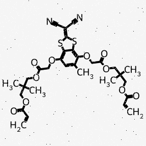 C=CC(=O)OCC(C)(C)COC(=O)COc1cc(C)c(OCC(=O)OCC(C)(C)COC(=O)C=C)c2c1SC(=C(C#N)C#N)S2